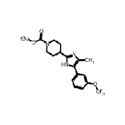 Cc1nc(C2CCN(C(=O)OC(C)(C)C)CC2)[nH]c1-c1cccc(OC(F)(F)F)c1